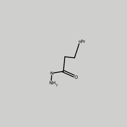 CCCCCC(=O)[N]N